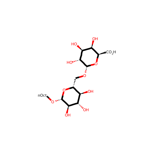 CCCCCCCCO[C@@H]1O[C@H](CO[C@H]2O[C@H](C(=O)O)[C@H](O)[C@H](O)[C@H]2O)[C@@H](O)[C@H](O)[C@H]1O